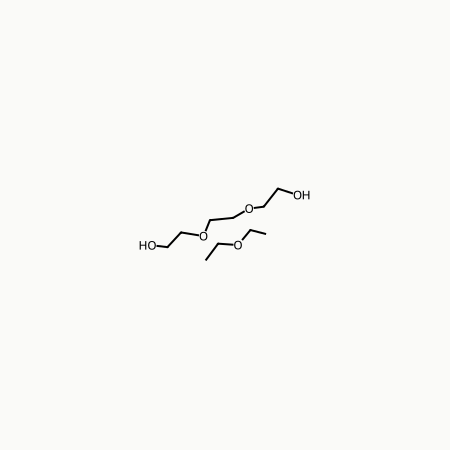 CCOCC.OCCOCCOCCO